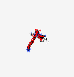 Cc1ccc(C(NCCCC[C@H](NC(=O)[C@@H](NC(=O)CCOCCOCCOCCOCCOCCOCCN=[N+]=[N-])C(C)C)C(=O)Nc2ccc(O)cc2)(c2ccccc2)c2ccccc2)cc1